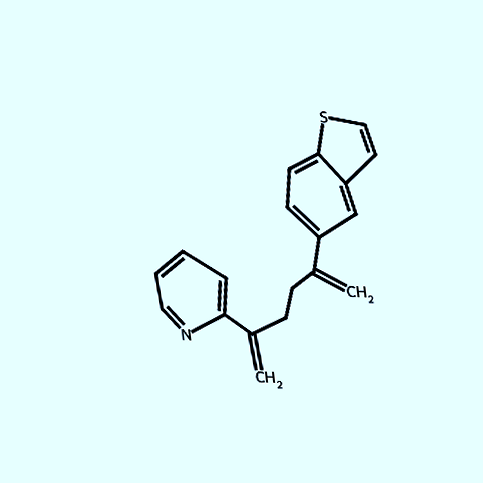 C=C(CCC(=C)c1ccccn1)c1ccc2sccc2c1